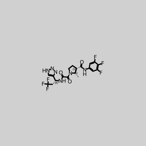 C[C@H]1[C@@H](C(=O)Nc2cc(F)c(F)c(F)c2)CCN1C(=O)C(=O)N[C@H](CC(F)(F)F)c1c[nH]nn1